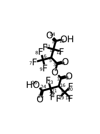 O=C(OC(=O)C(C(F)(F)F)C(F)(F)C(=O)O)C(C(F)(F)F)C(F)(F)C(=O)O